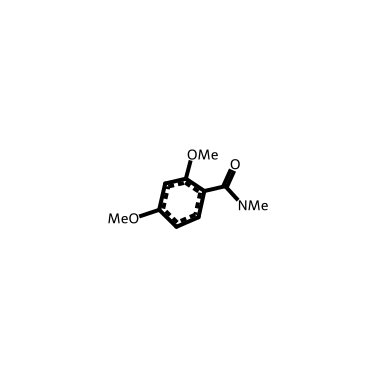 [CH2]NC(=O)c1ccc(OC)cc1OC